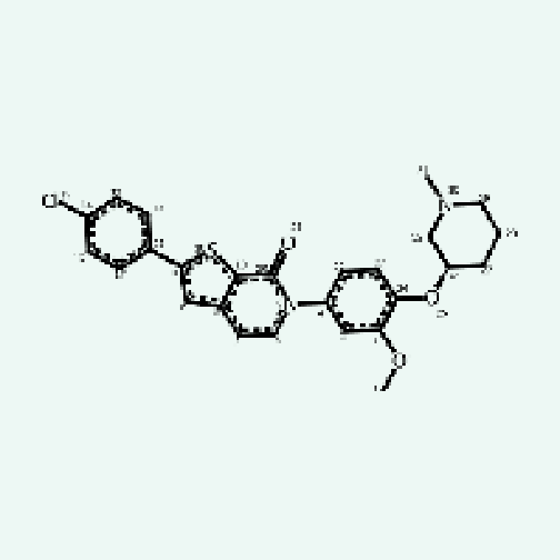 COc1cc(-n2ccc3cc(-c4ccc(Cl)cc4)sc3c2=O)ccc1O[C@@H]1CCCN(C)C1